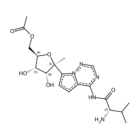 CC(=O)OC[C@H]1O[C@@](C)(c2ccc3c(NC(=O)[C@@H](N)C(C)C)ncnn23)[C@H](O)[C@@H]1O